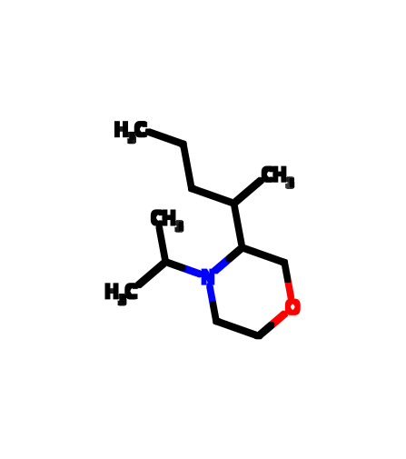 CCCC(C)C1COCCN1C(C)C